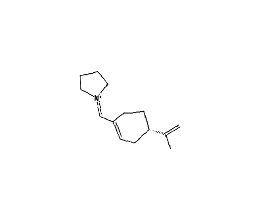 C=C(C)[C@@H]1CC=C(C=[N+]2CCCC2)CC1